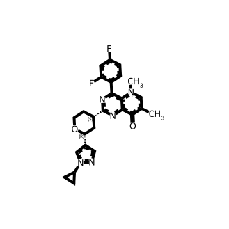 Cc1cn(C)c2c(-c3ccc(F)cc3F)nc([C@H]3CCO[C@@H](c4cnn(C5CC5)c4)C3)nc2c1=O